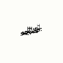 O=C1CCC(N2Cc3cc(CNC(=O)Nc4ccc(N5CCOCC5)nc4)sc3C2=O)C(=O)N1